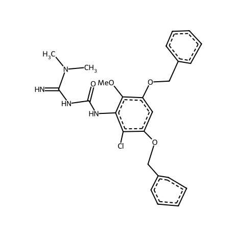 COc1c(OCc2ccccc2)cc(OCc2ccccc2)c(Cl)c1NC(=O)NC(=N)N(C)C